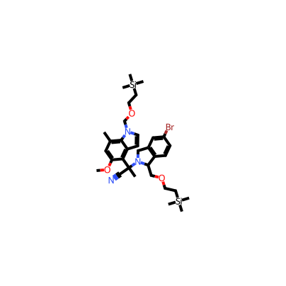 COc1cc(C)c2c(ccn2COCC[Si](C)(C)C)c1C(C)(C#N)N1Cc2cc(Br)ccc2C1COCC[Si](C)(C)C